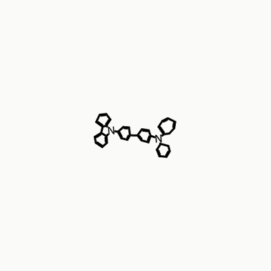 C1=CC=C(N(c2ccc(-c3ccc(-n4c5ccccc5c5ccccc54)cc3)cc2)C2C=CC=CC2)CC=C1